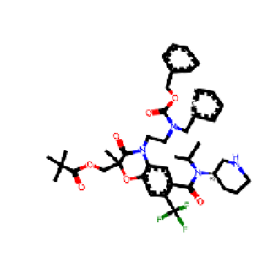 CC(C)N(C(=O)c1cc2c(cc1C(F)(F)F)OC(C)(COC(=O)C(C)(C)C)C(=O)N2CCN(Cc1ccccc1)C(=O)OCc1ccccc1)[C@@H]1CCCNC1